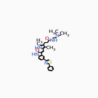 CCN(CC)CCNC(=O)CCc1c(C)[nH]c(/C=C2\C(=O)Nc3ccc(-c4csc(-c5ccccc5)n4)cc32)c1C